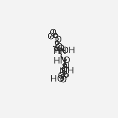 COc1ccc(Oc2ccc(C3(C)CCN([C@H](CCCCNC(=O)c4ccc(N/N=C\c5ccccc5S(=O)(=O)O)nc4)C(=O)NO)C3=O)cc2)cc1OC